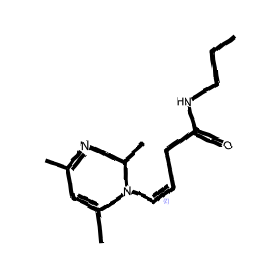 CCCNC(=O)C/C=C\N1C(C)=CC(C)=NC1C